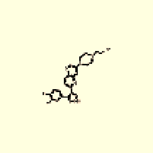 OCCN1CCN(c2cnc3ccc(-c4c[nH]nc4-c4ccc(F)c(F)c4)nc3c2)CC1